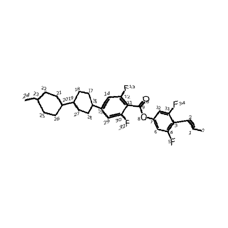 C/C=C/c1c(F)cc(OC(=O)c2c(F)cc(C3CCC(C4CCC(C)CC4)CC3)cc2F)cc1F